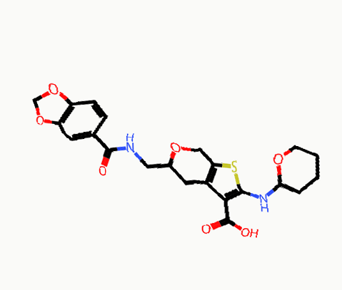 O=C(NCC1Cc2c(sc(NC3CCCCO3)c2C(=O)O)CO1)c1ccc2c(c1)OCO2